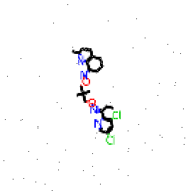 CC/C(=N\OCC(C)(C)CO/N=C1\CCCc2ccc(C)nc21)c1ncc(Cl)cc1Cl